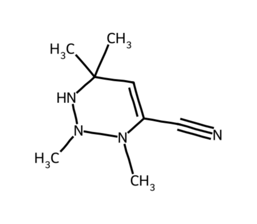 CN1NC(C)(C)C=C(C#N)N1C